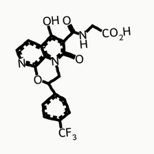 O=C(O)CNC(=O)c1c(O)c2ccnc3c2n(c1=O)CC(c1ccc(C(F)(F)F)cc1)O3